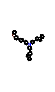 CC1(C)c2ccccc2-c2ccc(-c3ccc(N(c4ccc(-c5ccc(-c6ccc7sc8ccccc8c7c6)cc5)cc4)c4ccc(-c5ccc6c(c5)C(C)(C)c5ccccc5-6)cc4)cc3)cc21